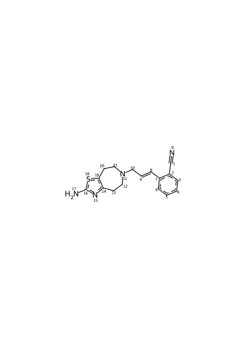 N#Cc1ccccc1/C=C/CN1CCc2nc(N)sc2CC1